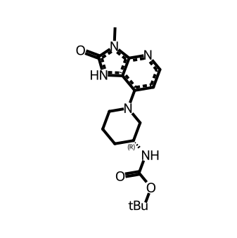 Cn1c(=O)[nH]c2c(N3CCC[C@@H](NC(=O)OC(C)(C)C)C3)ccnc21